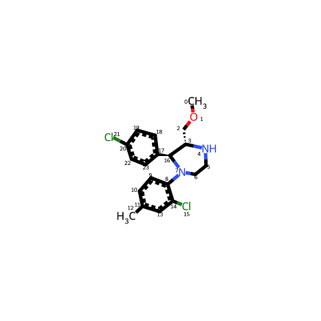 COC[C@@H]1NCCN(c2ccc(C)cc2Cl)[C@H]1c1ccc(Cl)cc1